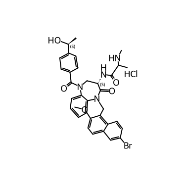 CNC(C)C(=O)N[C@H]1CN(C(=O)c2ccc([C@H](C)O)cc2)c2ccccc2N(Cc2c(OC)ccc3cc(Br)ccc23)C1=O.Cl